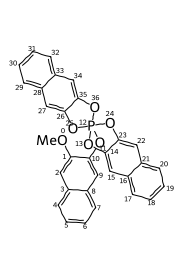 COc1cc2ccccc2cc1OP12(Oc3cc4ccccc4cc3O1)Oc1cc3ccccc3cc1O2